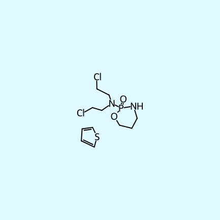 O=P1(N(CCCl)CCCl)NCCCO1.c1ccsc1